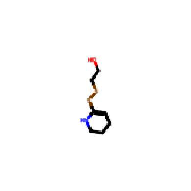 OCCSSC1=CCCCN1